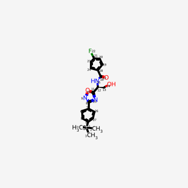 C[Si](C)(C)c1ccc(-c2noc([C@H](CO)NC(=O)c3ccc(F)cc3)n2)cc1